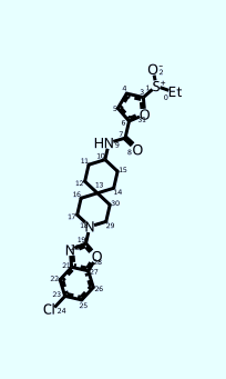 CC[S+]([O-])c1ccc(C(=O)NC2CCC3(CC2)CCN(c2nc4cc(Cl)ccc4o2)CC3)o1